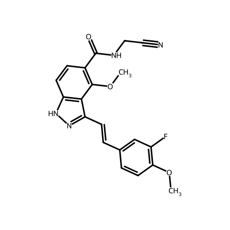 COc1ccc(C=Cc2n[nH]c3ccc(C(=O)NCC#N)c(OC)c23)cc1F